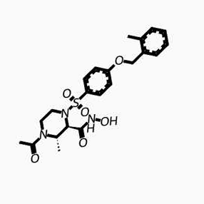 CC(=O)N1CCN(S(=O)(=O)c2ccc(OCc3ccccc3C)cc2)[C@@H](C(=O)NO)[C@@H]1C